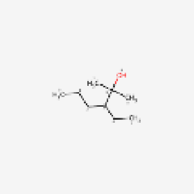 CCCC(CC)C(C)(C)O